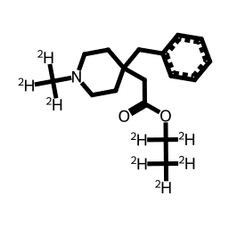 [2H]C([2H])([2H])N1CCC(CC(=O)OC([2H])([2H])C([2H])([2H])[2H])(Cc2ccccc2)CC1